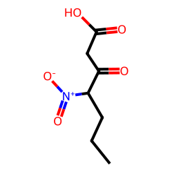 CCCC(C(=O)CC(=O)O)[N+](=O)[O-]